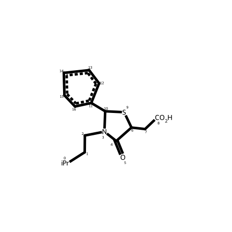 CC(C)CCN1C(=O)C(CC(=O)O)SC1c1ccccc1